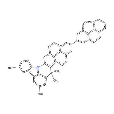 CC(C)(C)c1ccc2c(c1)c1cc(C(C)(C)C)cc3c1n2-c1cc2ccc4cc(-c5cc6ccc7cccc8ccc(c5)c6c78)cc5ccc(c1C3(C)C)c2c45